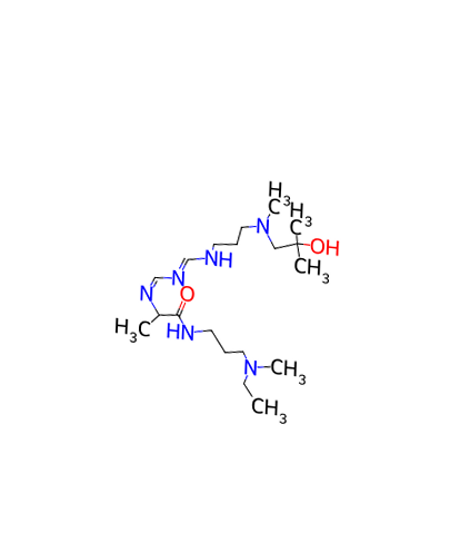 CCN(C)CCCNC(=O)C(C)/N=C\N=C\NCCCN(C)CC(C)(C)O